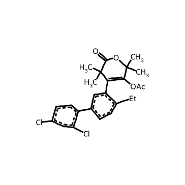 CCc1ccc(-c2ccc(Cl)cc2Cl)cc1C1=C(OC(C)=O)C(C)(C)OC(=O)C1(C)C